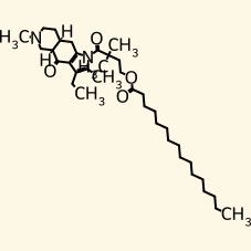 CCCCCCCCCCCCCCCC(=O)OCCC(C)(C)C(=O)n1c(C)c(CC)c2c1C[C@@H]1CCN(C)C[C@H]1C2=O